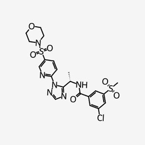 C[C@H](NC(=O)c1cc(Cl)cc(S(C)(=O)=O)c1)c1ncnn1-c1ccc(S(=O)(=O)N2CCOCC2)cn1